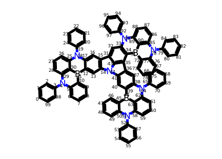 c1ccc(N2c3ccccc3B3c4cc5c(cc4N(c4ccccc4)c4cccc2c43)c2cc3c(c4c6cc7c(cc6n5c24)B2c4ccccc4N(c4ccccc4)c4cccc(c42)N7c2ccccc2)B2c4ccccc4N(c4ccccc4)c4cccc(c42)N3c2ccccc2)cc1